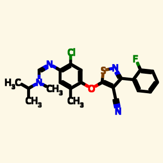 Cc1cc(/N=C\N(C)C(C)C)c(Cl)cc1Oc1snc(-c2ccccc2F)c1C#N